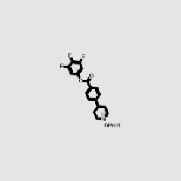 CCCCC[SiH]1CCC(c2ccc(C(=O)Oc3cc(F)c(F)c(F)c3)cc2)CC1